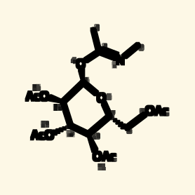 CN=C(C)O[C@H]1O[C@H](COC(C)=O)[C@@H](OC(C)=O)[C@H](OC(C)=O)[C@H]1OC(C)=O